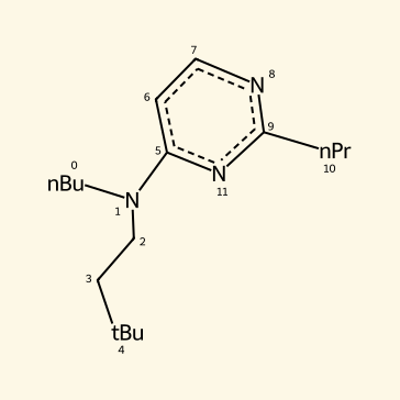 CCCCN(CCC(C)(C)C)c1ccnc(CCC)n1